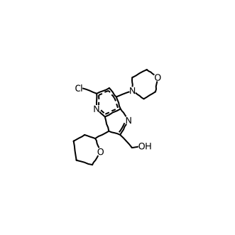 OCC1=Nc2c(N3CCOCC3)cc(Cl)nc2C1C1CCCCO1